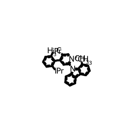 Cc1c[n+](C)c(-n2c3ccccc3c3cccc(C)c32)cc1-c1c(C(C)C)cccc1C(C)C